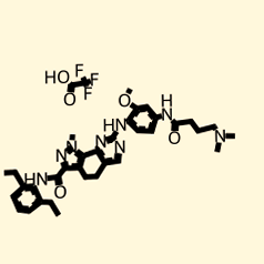 CCc1cccc(CC)c1NC(=O)c1nn(C)c2c1CCc1cnc(Nc3ccc(NC(=O)CCCN(C)C)cc3OC)nc1-2.O=C(O)C(F)(F)F